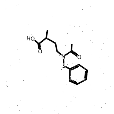 CC(=O)N(CCC(C)C(=O)O)Sc1ccccc1